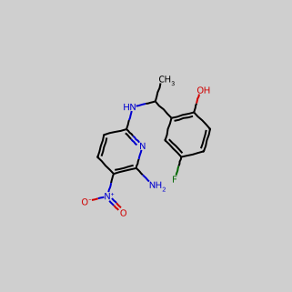 CC(Nc1ccc([N+](=O)[O-])c(N)n1)c1cc(F)ccc1O